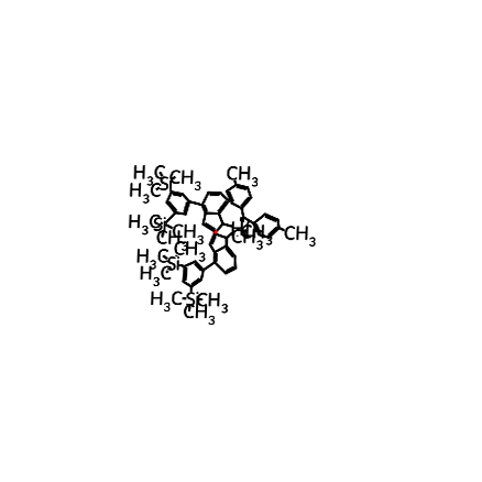 Cc1ccc([C](c2ccc(C)cc2)=[Hf]([CH3])([CH3])([CH]2C=Cc3c(-c4cc([Si](C)(C)C)cc([Si](C)(C)C)c4)cccc32)[CH]2C=Cc3c(-c4cc([Si](C)(C)C)cc([Si](C)(C)C)c4)cccc32)cc1